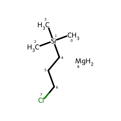 C[Si](C)(C)CCCCl.[MgH2]